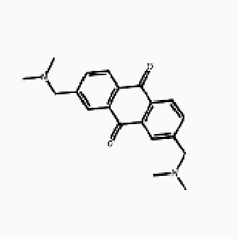 CN(C)Cc1ccc2c(c1)C(=O)c1cc(CN(C)C)ccc1C2=O